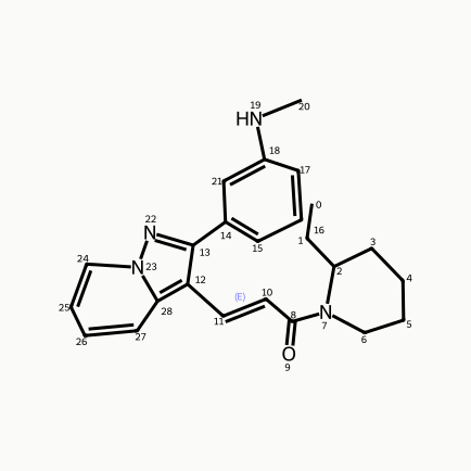 CCC1CCCCN1C(=O)/C=C/c1c(-c2cccc(NC)c2)nn2ccccc12